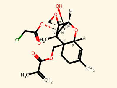 C=C(C)C(=O)OC[C@]12CCC(C)=C[C@H]1O[C@@H]1[C@H](O)[C@@H](OC(=O)CCl)[C@@]2(C)[C@]12CO2